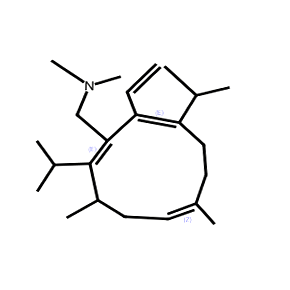 C=CC1=C(\C(C)C)CC/C(C)=C\CC(C)/C(C(C)C)=C\1CN(C)C